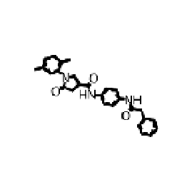 Cc1ccc(C)c(N2CC(C(=O)Nc3ccc(NC(=O)Cc4ccccc4)cc3)CC2=O)c1